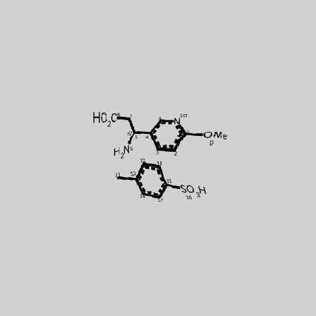 COc1ccc([C@@H](N)CC(=O)O)cn1.Cc1ccc(S(=O)(=O)O)cc1